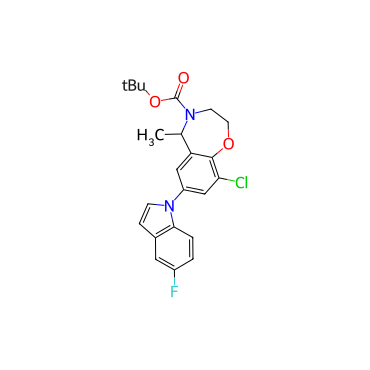 CC1c2cc(-n3ccc4cc(F)ccc43)cc(Cl)c2OCCN1C(=O)OC(C)(C)C